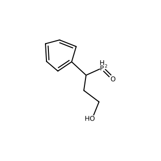 O=[PH2]C(CCO)c1ccccc1